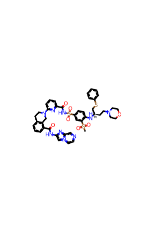 CS(=O)(=O)c1cc(S(=O)(=O)NC(=O)c2cccc(N3CCc4cccc(C(=O)Nc5cn6ccncc6n5)c4C3)n2)ccc1N[C@H](CCN1CCOCC1)CSc1ccccc1